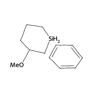 COC1CCC[SiH2]C1.c1ccccc1